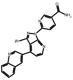 CC(C)c1nn(-c2ccc(C(N)=O)cn2)c2nccc(-c3cnc4ccccc4c3)c12